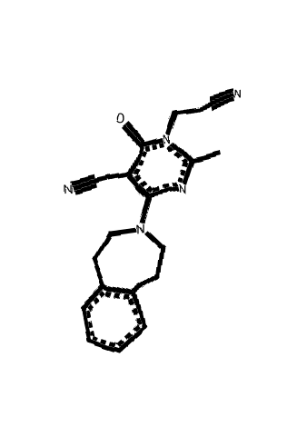 Cc1nc(N2CCc3ccccc3CC2)c(C#N)c(=O)n1CC#N